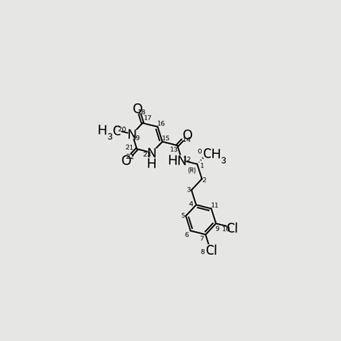 C[C@H](CCc1ccc(Cl)c(Cl)c1)NC(=O)c1cc(=O)n(C)c(=O)[nH]1